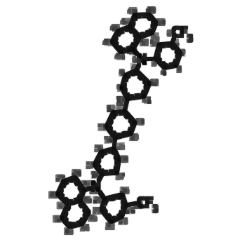 FC(F)(F)c1cccc(N(c2ccc(-c3ccc(-c4ccc(N(c5cccc(C(F)(F)F)c5)c5cccc6ccccc56)cc4)cc3)cc2)c2cccc3ccccc23)c1